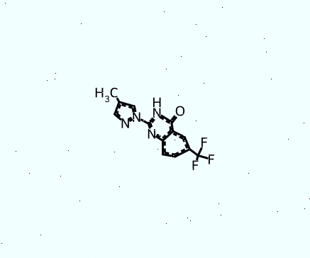 Cc1cnn(-c2nc3ccc(C(F)(F)F)cc3c(=O)[nH]2)c1